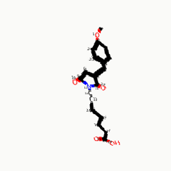 COc1ccc(/C=C2\CC(=O)N(CCCCCCC(=O)O)C2=O)cc1